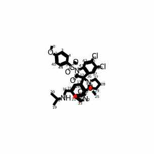 COc1ccc(S(=O)(=O)N2C(=O)C(c3cc(CNC(C)C)ccc3OC)(N3CCC[C@H]3c3ncco3)c3cc(Cl)c(Cl)cc32)cc1